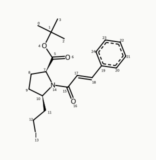 CC(C)(C)OC(=O)[C@@H]1CC[C@H](CCI)N1C(=O)C=Cc1ccccc1